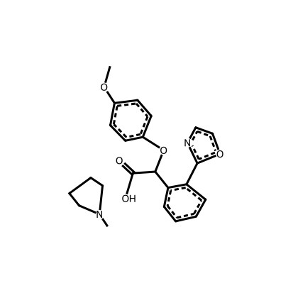 CN1CCCC1.COc1ccc(OC(C(=O)O)c2ccccc2-c2ncco2)cc1